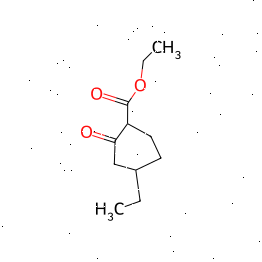 CCOC(=O)C1CCC(CC)CC1=O